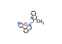 Cc1cc2ccccc2nc1CCn1ccc2cccc(-c3ccncc3)c2c1=O